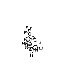 COc1nc(NS(=O)(=O)c2c[nH]c3nc(Cl)ccc23)ncc1OC(F)C(F)F